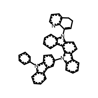 C1=C(n2c3ccccc3c3c2ccc2c4ccccc4n(-c4ccc5c(c4)c4ccccc4n5-c4ccccc4)c23)c2ncccc2CC1